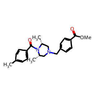 COC(=O)c1ccc(CN2C[C@@H](C)N(C(=O)c3ccc(C)cc3)[C@@H](C)C2)cc1